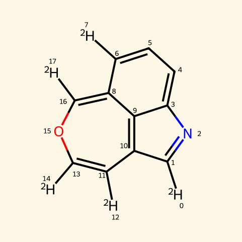 [2H]C1=Nc2ccc([2H])c3c2=C1C([2H])=C([2H])OC=3[2H]